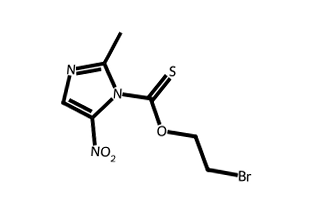 Cc1ncc([N+](=O)[O-])n1C(=S)OCCBr